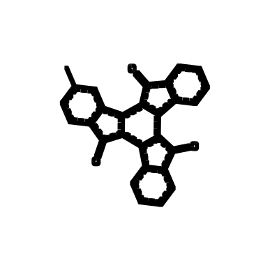 Cc1ccc2c(=O)c3c4c5ccccc5c(=O)c4c4c5ccccc5c(=O)c4c3c2c1